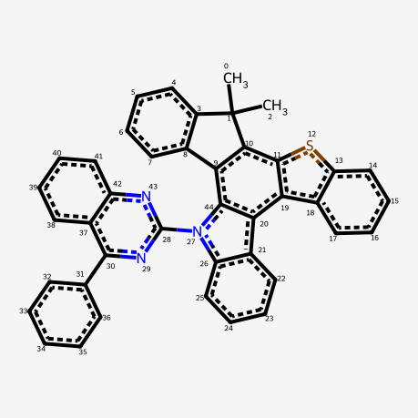 CC1(C)c2ccccc2-c2c1c1sc3ccccc3c1c1c3ccccc3n(-c3nc(-c4ccccc4)c4ccccc4n3)c21